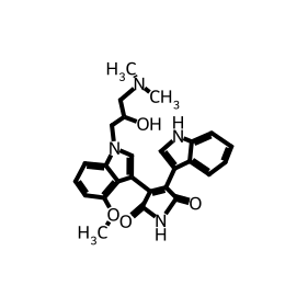 COc1cccc2c1c(C1=C(c3c[nH]c4ccccc34)C(=O)NC1=O)cn2CC(O)CN(C)C